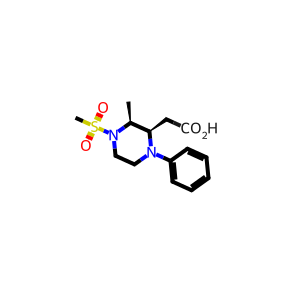 C[C@H]1[C@@H](CC(=O)O)N(c2ccccc2)CCN1S(C)(=O)=O